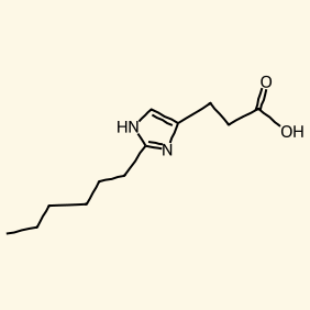 CCCCCCc1nc(CCC(=O)O)c[nH]1